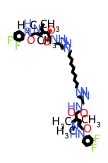 Cc1c(C(=O)C(=O)NCc2cn(CCCCCCCCCCn3cc(CNC(=O)C(=O)c4c(C)c(C(=O)Nc5ccc(F)c(F)c5)n(C)c4C)nn3)nn2)c(C)n(C)c1C(=O)Nc1ccc(F)c(F)c1